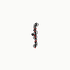 C=CC(=O)OCOc1ccc2cc(C(=O)Oc3ccc(OC(=O)c4ccc5cc(OCOC(=O)C=C)ccc5c4)c(-c4ccccc4)c3)ccc2c1